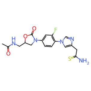 CC(=O)NCC1CN(c2ccc(-n3cnc(CC(N)=S)c3)c(F)c2)C(=O)O1